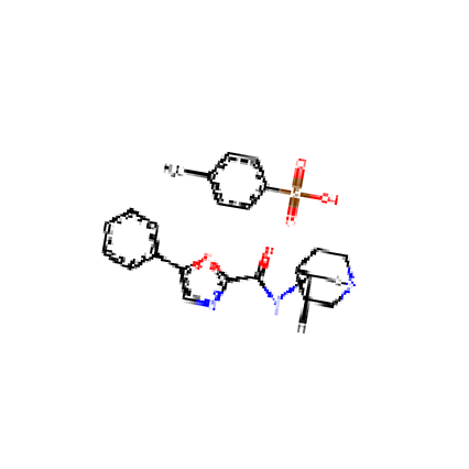 Cc1ccc(S(=O)(=O)O)cc1.O=C(N[C@H]1CN2CCC1CC2)c1ncc(-c2ccccc2)o1